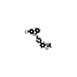 CC(C)C(=O)Nc1cccc(C2CCN(CC[C@H](Oc3cccc(Cl)c3)c3ccccc3)CC2)c1